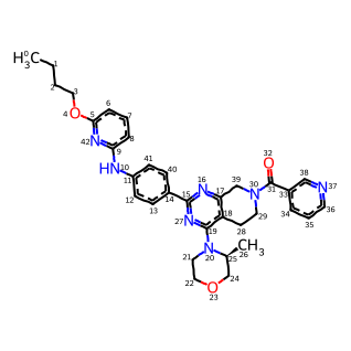 CCCCOc1cccc(Nc2ccc(-c3nc4c(c(N5CCOC[C@@H]5C)n3)CCN(C(=O)c3cccnc3)C4)cc2)n1